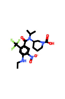 CCNc1cc(C(F)(F)F)c(C(=O)N(C(C)C)[C@@H]2CCCN(C(=O)O)C2)cc1[N+](=O)[O-]